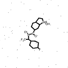 CCN(C(C1CCC(F)CC1)C(F)(F)F)[S+]([O-])C1CCC2CC[SiH](O)C2C1